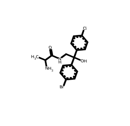 CC(N)C(=O)NCC(O)(c1ccc(Cl)cc1)c1ccc(Br)cc1